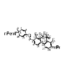 CCCCCC1(C)C=CC(OCc2ccc3c(c2F)C(F)(F)C(F)(F)c2c-3ccc(CCC)c2F)=CC1